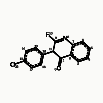 O=C1c2ccccc2N=C(F)C1c1ccc(Cl)cc1